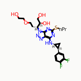 CCCSc1nc(N[C@@H]2C[C@H]2c2ccc(F)c(F)c2)c2nnn([C@H](CCOCCO)[C@H](O)CO)c2n1